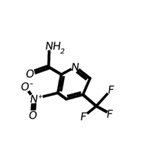 NC(=O)c1ncc(C(F)(F)F)cc1[N+](=O)[O-]